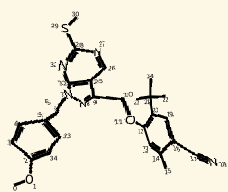 COc1ccc(Cn2nc(COc3cc(C)c(C#N)cc3C(C)(C)C)c3cnc(SC)nc32)cc1